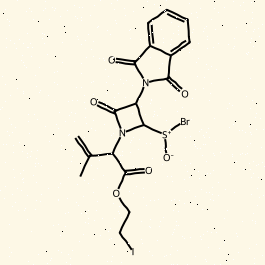 C=C(C)C(C(=O)OCCI)N1C(=O)C(N2C(=O)c3ccccc3C2=O)C1[S+]([O-])Br